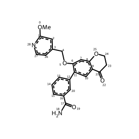 COc1cc(COc2cc3c(cc2-c2cccc(C(N)=O)c2)C(=O)CCO3)ccn1